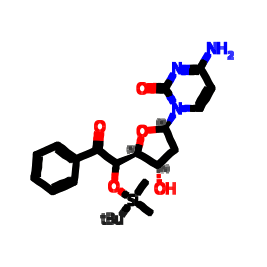 CC(C)(C)[Si](C)(C)OC(C(=O)c1ccccc1)[C@H]1O[C@@H](n2ccc(N)nc2=O)C[C@@H]1O